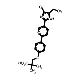 CC(C)(COc1ccc(-c2ccc(-c3nc(Cl)c(CO)[nH]3)cn2)cc1)C(=O)O